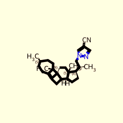 C[C@@H]1CCC2=C3C[C@H]4[C@@H]5CC[C@H]([C@@H](C)Cn6cc(C#N)cn6)[C@@]5(C)CC[C@@]34[C@@]2(C)CC1